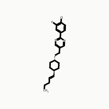 CCCC=C[C@H]1CC[C@H](CCc2cnc(-c3ccc(Cl)c(F)c3)nc2)CC1